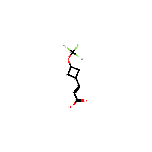 O=C(O)/C=C/C1CC(OC(F)(F)F)C1